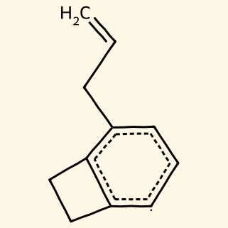 C=CCc1cc[c]c2c1CC2